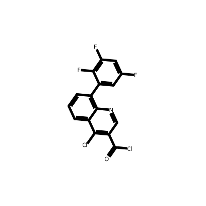 O=C(Cl)c1cnc2c(-c3cc(F)cc(F)c3F)cccc2c1Cl